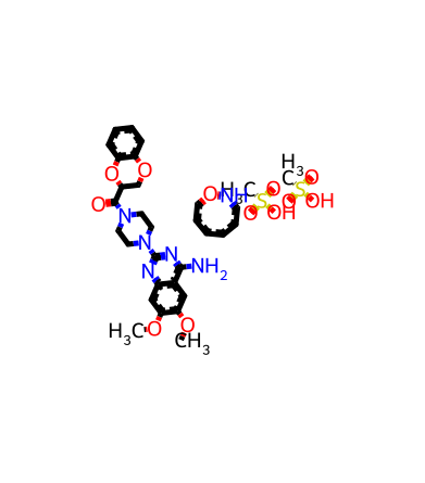 COc1cc2nc(N3CCN(C(=O)C4COc5ccccc5O4)CC3)nc(N)c2cc1OC.CS(=O)(=O)O.CS(=O)(=O)O.c1ccco[nH]cc1